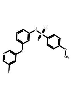 COc1ccc(S(=O)(=O)Nc2cccc(Oc3cncc(Cl)c3)c2)cc1